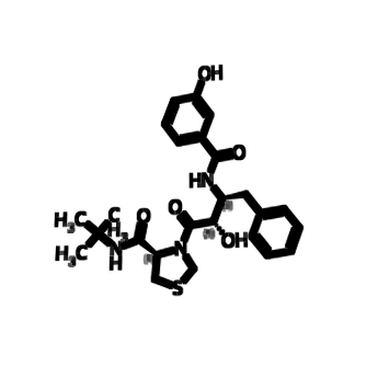 CC(C)(C)NC(=O)[C@@H]1CSCN1C(=O)[C@@H](O)[C@H](Cc1ccccc1)NC(=O)c1cccc(O)c1